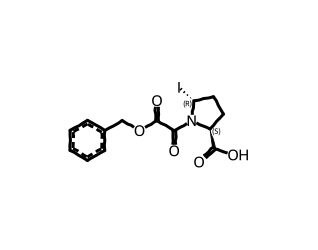 O=C(OCc1ccccc1)C(=O)N1[C@H](I)CC[C@H]1C(=O)O